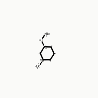 CCCCO[C@H]1CCC[C@@H](C)C1